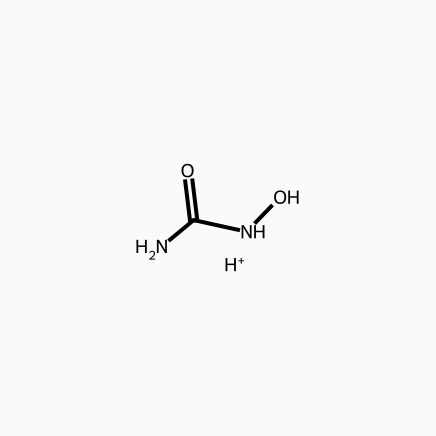 NC(=O)NO.[H+]